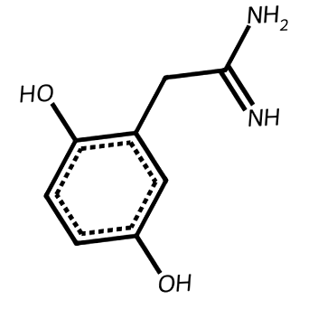 N=C(N)Cc1cc(O)ccc1O